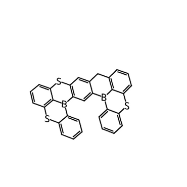 c1ccc2c(c1)Sc1cccc3c1B2c1cc2c(cc1C3)Sc1cccc3c1B2c1ccccc1S3